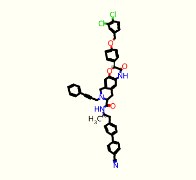 C[C@@H](Cc1ccc(-c2ccc(C#N)cc2)cc1)NC(=O)C1Cc2cc3c(cc2CN1CC#Cc1ccccc1)O[C@@H](c1ccc(OCc2ccc(Cl)c(Cl)c2)cc1)C(=O)N3